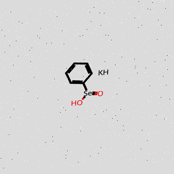 O=[Se](O)c1ccccc1.[KH]